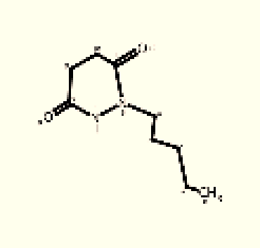 CCCCCN1NC(=O)CCC1=O